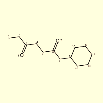 CCC(=O)CCC(=O)CC1CCCCC1